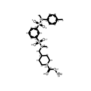 Cc1ccc(N(C)S(=O)(=O)c2cccc(S(=O)(=O)N(C)CC3CCN(C(=O)OC(C)(C)C)CC3)c2)cc1